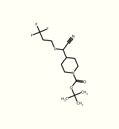 CC(C)(C)OC(=O)N1CCC(C(C#N)SCCC(F)(F)F)CC1